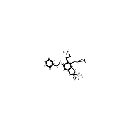 C=CCc1c(CCC)c(OCc2ccccc2)cc2c1OC(C)(C)C2